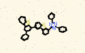 c1ccc(-c2cc(-c3ccc4sc5c(-c6nc(-c7ccccc7)nc(-c7ccccc7)n6)cccc5c4c3)c3sc4ccccc4c3c2)cc1